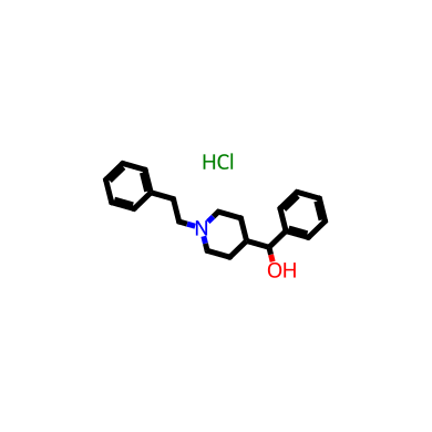 Cl.OC(c1ccccc1)C1CCN(CCc2ccccc2)CC1